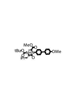 COC(=O)[C@H](C)N(C(=O)[C@H](CC(C)C)NC(=O)OC(C)(C)C)c1ccc(-c2ccc(OC)cc2)cc1